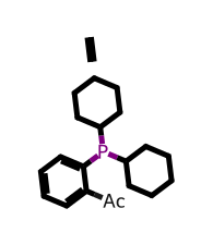 C=C.CC(=O)c1ccccc1P(C1CCCCC1)C1CCCCC1